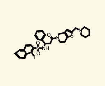 O=C(CC(NS(=O)(=O)c1ccc2ccccc2c1I)c1ccccc1)N1CCc2sc(CN3CCCCC3)cc2C1